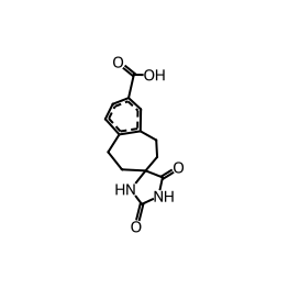 O=C1NC(=O)C2(CCc3ccc(C(=O)O)cc3CC2)N1